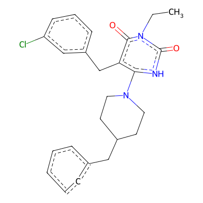 CCn1c(=O)[nH]c(N2CCC(Cc3ccccc3)CC2)c(Cc2cccc(Cl)c2)c1=O